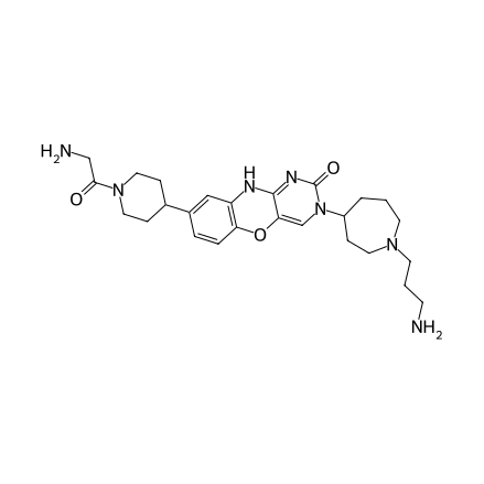 NCCCN1CCCC(n2cc3c(nc2=O)Nc2cc(C4CCN(C(=O)CN)CC4)ccc2O3)CC1